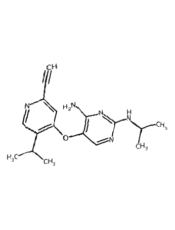 C#Cc1cc(Oc2cnc(NC(C)C)nc2N)c(C(C)C)cn1